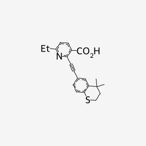 CCc1ccc(C(=O)O)c(C#Cc2ccc3c(c2)C(C)(C)CCS3)n1